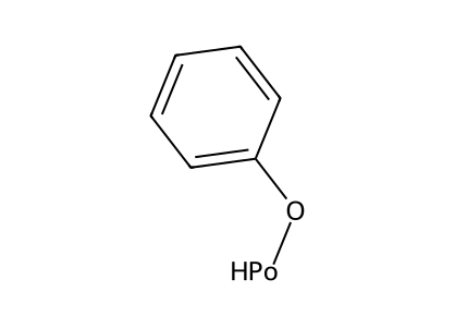 [PoH][O]c1ccccc1